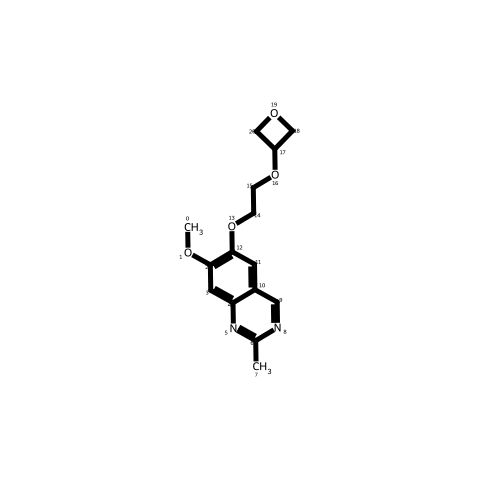 COc1cc2nc(C)ncc2cc1OCCOC1COC1